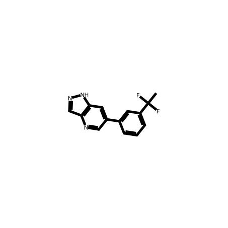 CC(F)(F)c1cccc(-c2cnc3cn[nH]c3c2)c1